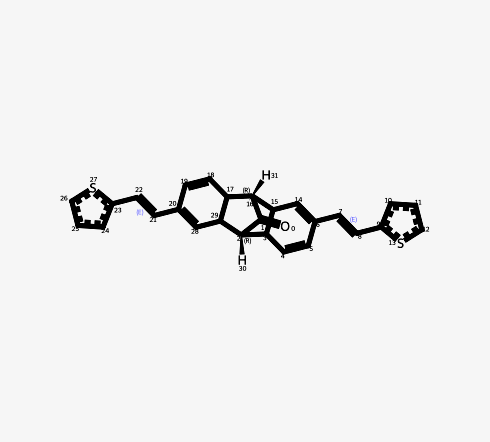 O=C1[C@@H]2C3C=CC(/C=C/c4cccs4)=CC3[C@H]1C1C=CC(/C=C/c3cccs3)=CC12